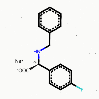 O=C([O-])[C@@H](NCc1ccccc1)c1ccc(F)cc1.[Na+]